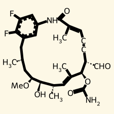 CO[C@H]1C[C@H](C)Cc2cc(cc(F)c2F)NC(=O)/C(C)=C/CC[C@H](C=O)[C@@H](OC(N)=O)/C(C)=C/[C@H](C)[C@H]1O